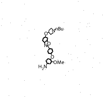 CCCCN1CCC(Oc2ccc3nc(-c4ccc(Oc5ccc(N)cc5OC)cc4)oc3c2)CC1